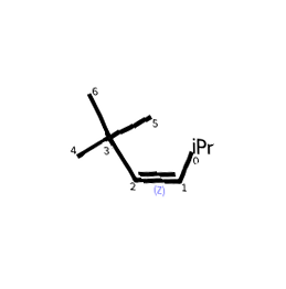 CC(C)/C=C\C(C)(C)C